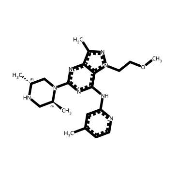 COCCn1nc(C)c2nc(N3C[C@@H](C)NC[C@@H]3C)nc(Nc3cc(C)ccn3)c21